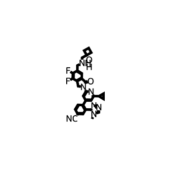 Cn1cnnc1-c1cc(C#N)ccc1-c1cc(C2CC2)nc(N2Cc3c(cc(CNCC4(O)CCC4)c(F)c3F)C2=O)c1